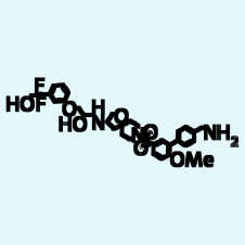 COc1ccc(S(=O)(=O)N2CCC3(CC2)C[C@H](NC[C@H](O)COc2cccc(C(F)(F)CO)c2)CO3)cc1-c1ccc(CN)cc1